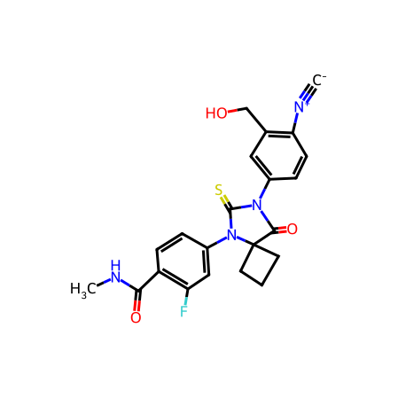 [C-]#[N+]c1ccc(N2C(=O)C3(CCC3)N(c3ccc(C(=O)NC)c(F)c3)C2=S)cc1CO